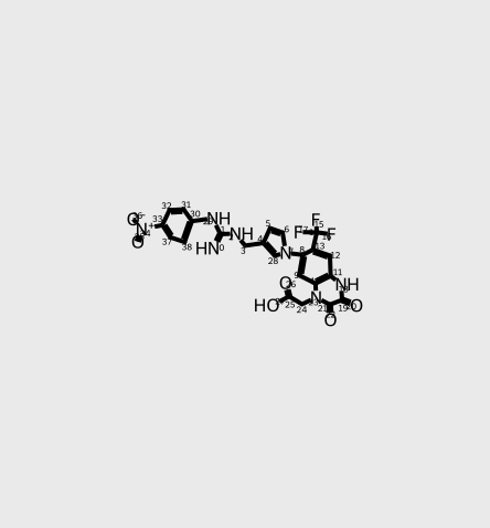 N=C(NCc1ccn(-c2cc3c(cc2C(F)(F)F)[nH]c(=O)c(=O)n3CC(=O)O)c1)Nc1ccc([N+](=O)[O-])cc1